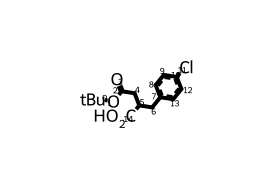 CC(C)(C)OC(=O)CC(Cc1ccc(Cl)cc1)C(=O)O